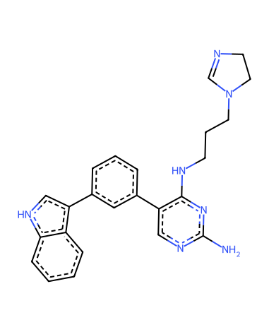 Nc1ncc(-c2cccc(-c3c[nH]c4ccccc34)c2)c(NCCCN2C=NCC2)n1